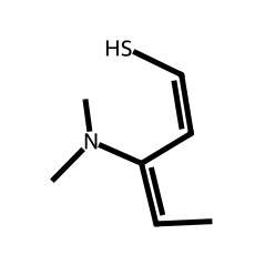 C/C=C(\C=C/S)N(C)C